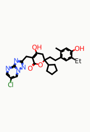 CCc1cc(CCC2(C3CCCC3)CC(O)=C(Cc3nc4ncc(Cl)cn4n3)C(=O)O2)c(C)cc1O